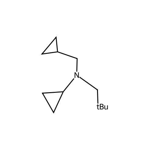 CC(C)(C)CN(CC1CC1)C1CC1